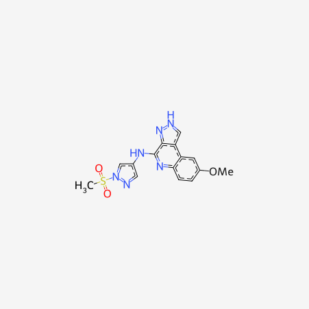 COc1ccc2nc(Nc3cnn(S(C)(=O)=O)c3)c3n[nH]cc3c2c1